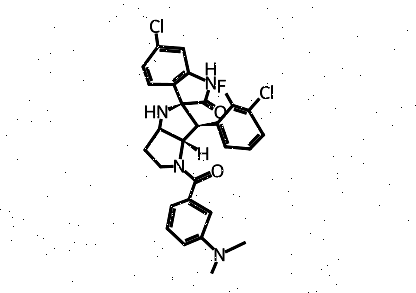 CN(C)c1cccc(C(=O)N2CCC3N[C@@]4(C(=O)Nc5cc(Cl)ccc54)[C@@H](c4cccc(Cl)c4F)[C@@H]32)c1